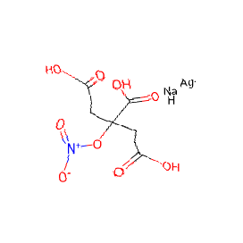 O=C(O)CC(CC(=O)O)(O[N+](=O)[O-])C(=O)O.[Ag].[NaH]